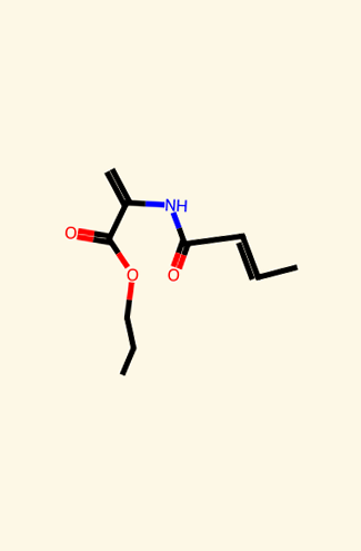 C=C(NC(=O)C=CC)C(=O)OCCC